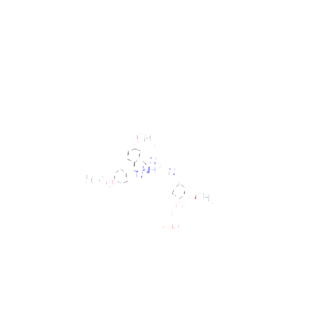 COc1ccc(-c2nnc(NC3CCN(Cc4ccc(OCCCO)c(OC)c4)CC3)c3cc(OC)ccc23)cc1